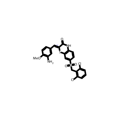 COc1ccc(/C=C2\Sc3cc(S(=O)(=O)Cc4c(Cl)cccc4Cl)ccc3NC2=O)cc1N